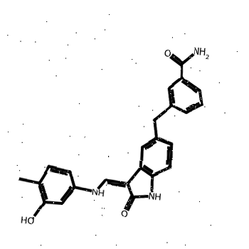 Cc1ccc(NC=C2C(=O)Nc3ccc(Cc4cccc(C(N)=O)c4)cc32)cc1O